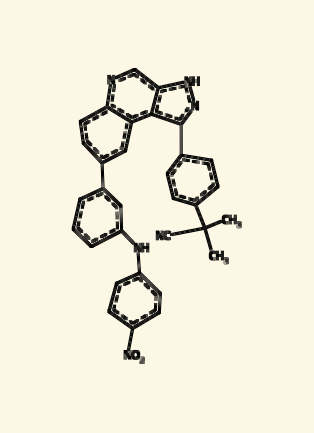 CC(C)(C#N)c1ccc(-c2n[nH]c3cnc4ccc(-c5cccc(Nc6ccc([N+](=O)[O-])cc6)c5)cc4c23)cc1